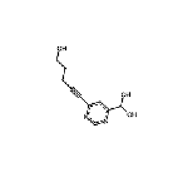 OCCCC#Cc1cc(C(O)O)ncn1